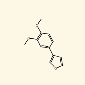 COc1ccc(-c2c[c]oc2)cc1OC